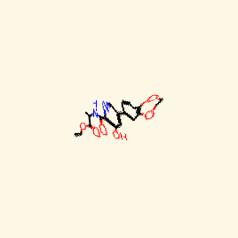 CCOC(=O)C(C)NC(=O)c1ncc(-c2ccc3c(c2)OCCO3)cc1O